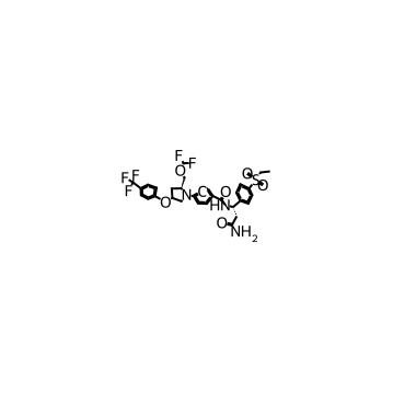 CCS(=O)(=O)c1ccc([C@H](CC(N)=O)NC(=O)c2ccc(N3C[C@@H](Oc4ccc(C(F)(F)F)cc4)C[C@H]3COC(F)F)cc2)cc1